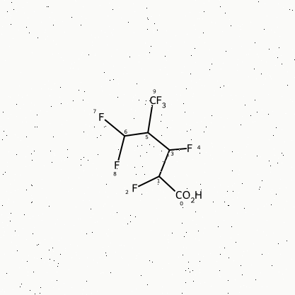 O=C(O)C(F)C(F)C(C(F)F)C(F)(F)F